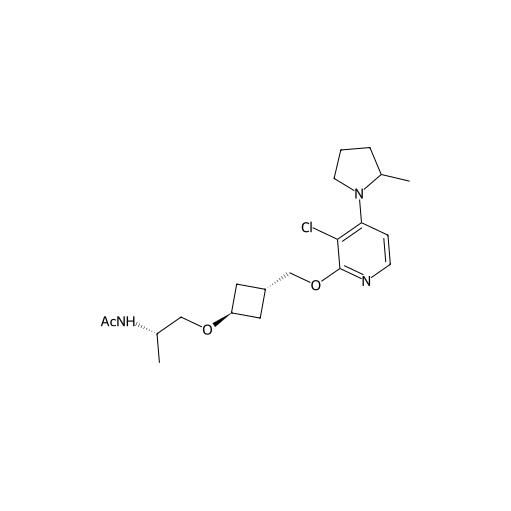 CC(=O)N[C@@H](C)CO[C@H]1C[C@H](COc2nccc(N3CCCC3C)c2Cl)C1